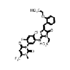 Cn1c(C(F)(F)F)cc(=O)n(-c2cc(/N=C3\S/C(=C/c4ccccc4OCC(=O)O)C(=O)N3CC(=O)O)c(Cl)cc2F)c1=O